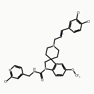 O=C(NCc1ccnc(Cl)c1)N1CC2(CCN(C/C=C/c3ccc(Cl)c(Cl)c3)CC2)c2cc(OC(F)(F)F)ccc21